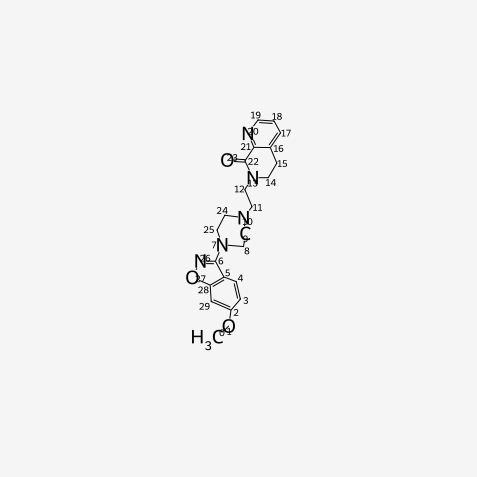 COc1ccc2c(N3CCN(CCN4CCc5cccnc5C4=O)CC3)noc2c1